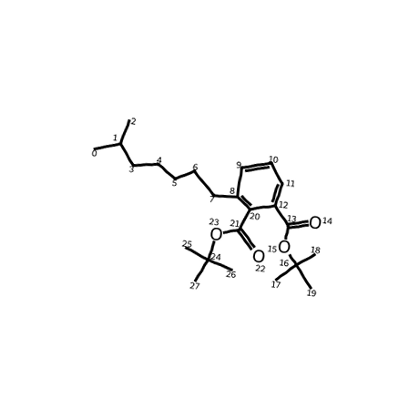 CC(C)CCCCCc1cccc(C(=O)OC(C)(C)C)c1C(=O)OC(C)(C)C